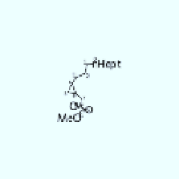 CCCCCCCCCCC1CC1CS(=O)(=O)OC